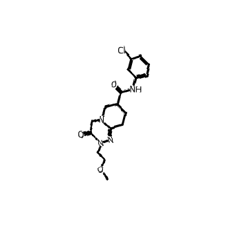 COCCN1N=C2CCC(C(=O)Nc3cccc(Cl)c3)CN2CC1=O